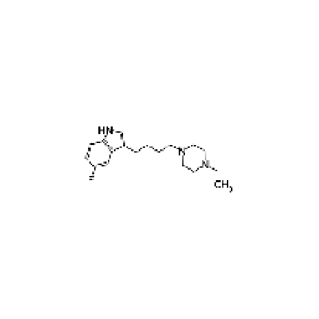 CCN1CCN(CCCCc2c[nH]c3ccc(F)cc23)CC1